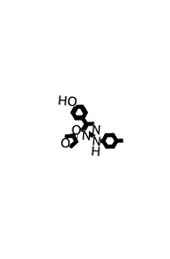 CC1CCC(Nc2ncc(-c3ccc(O)cc3)c(O[C@@H]3CCOC3)n2)CC1